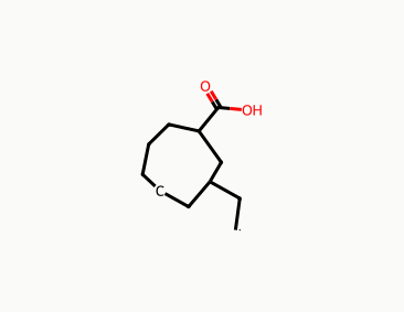 [CH2]CC1CCCCCC(C(=O)O)C1